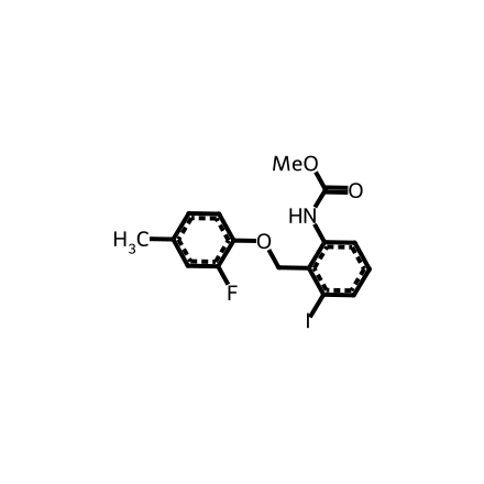 COC(=O)Nc1cccc(I)c1COc1ccc(C)cc1F